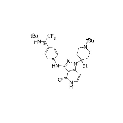 CCC1(n2nc(Nc3ccc([C@H](NC(C)(C)C)C(F)(F)F)cc3)c3c(=O)[nH]ccc32)CCN(C(C)(C)C)CC1